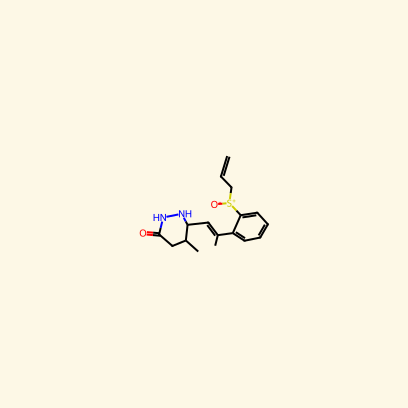 C=CC[S+]([O-])c1ccccc1/C(C)=C/C1NNC(=O)CC1C